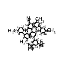 Cc1ccc2c(c1)c1cc(C)ccc1n2-c1cc(C#N)ccc1-c1ccc(-c2cc(C(F)(F)F)cc(C(F)(F)F)c2)cc1-n1c2ccc(C)cc2c2cc(C)ccc21